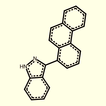 c1ccc2c(c1)ccc1c(-c3n[nH]c4ccccc34)cccc12